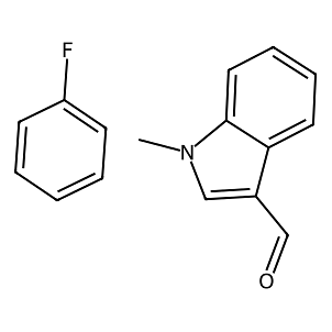 Cn1cc(C=O)c2ccccc21.Fc1ccccc1